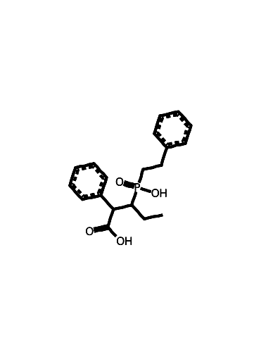 CCC(C(C(=O)O)c1ccccc1)P(=O)(O)CCc1ccccc1